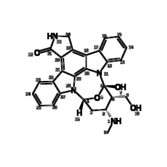 CN[C@@H]1C[C@H]2O[C@@](O)([C@@H]1CO)n1c3ccccc3c3c4c(c5c6ccccc6n2c5c31)C(=O)NC4